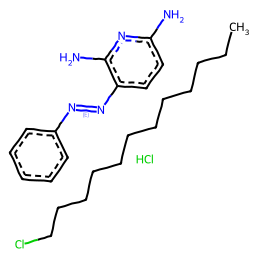 CCCCCCCCCCCCCl.Cl.Nc1ccc(/N=N/c2ccccc2)c(N)n1